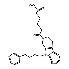 COC(=O)CCCCC(=O)N1CCc2c(n(CCCCc3ccccc3)c3ncccc23)C1